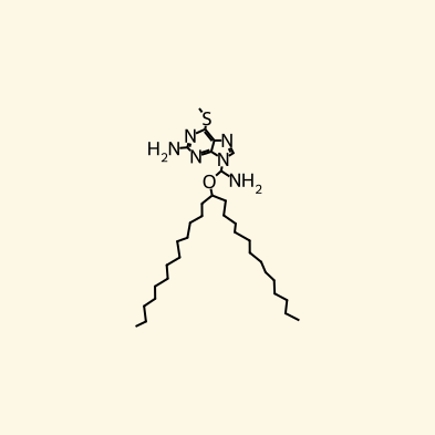 CCCCCCCCCCCCCC(CCCCCCCCCCCCC)OC(N)n1cnc2c(SC)nc(N)nc21